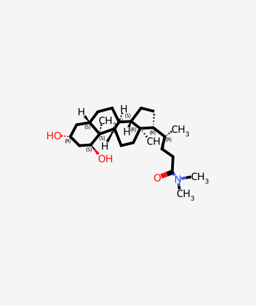 C[C@H](CCC(=O)N(C)C)[C@H]1CC[C@H]2[C@@H]3CC[C@H]4C[C@@H](O)C[C@H](O)[C@]4(C)[C@H]3CC[C@]12C